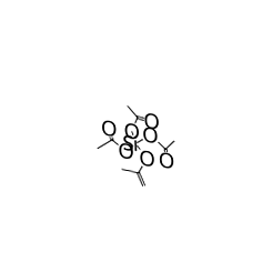 C=C(C)O[Si](OC(C)=O)(OC(C)=O)OC(C)=O